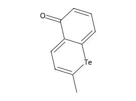 Cc1ccc2c(=O)cccc-2[te]1